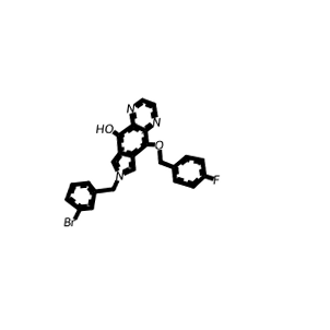 Oc1c2cn(Cc3cccc(Br)c3)cc2c(OCc2ccc(F)cc2)c2nccnc12